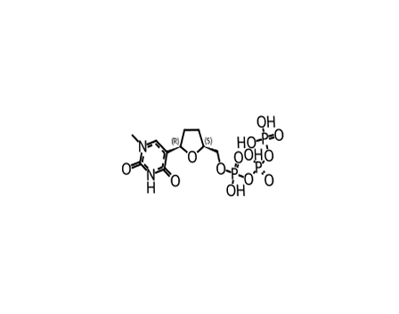 Cn1cc([C@H]2CC[C@@H](COP(=O)(O)OP(=O)(O)OP(=O)(O)O)O2)c(=O)[nH]c1=O